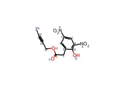 O=C(Cc1cc([N+](=O)[O-])cc([N+](=O)[O-])c1O)OCC#CI